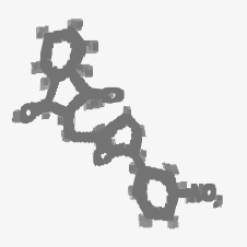 O=C1C(=Cc2ccc(-c3cccc([N+](=O)[O-])c3)o2)C(=O)c2ccccc21